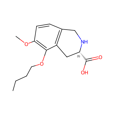 CCCCOc1c(OC)ccc2c1C[C@@H](C(=O)O)NC2